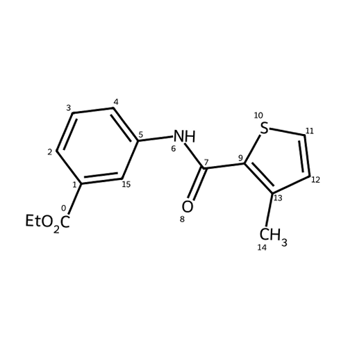 CCOC(=O)c1cccc(NC(=O)c2sccc2C)c1